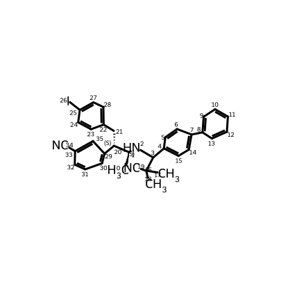 C[C@H](NC(c1ccc(-c2ccccc2)cc1)C(C)(C)C#N)[C@@H](Cc1ccc(I)cc1)c1cccc(C#N)c1